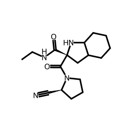 CCNC(=O)[C@]1(C(=O)N2CCC[C@H]2C#N)CC2CCCCC2N1